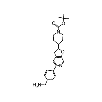 CC(C)(C)OC(=O)N1CCC(C2Cc3cc(-c4ccc(CN)cc4)ncc3O2)CC1